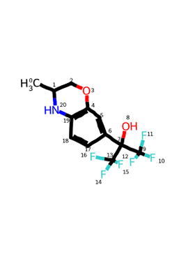 CC1COc2cc(C(O)(C(F)(F)F)C(F)(F)F)ccc2N1